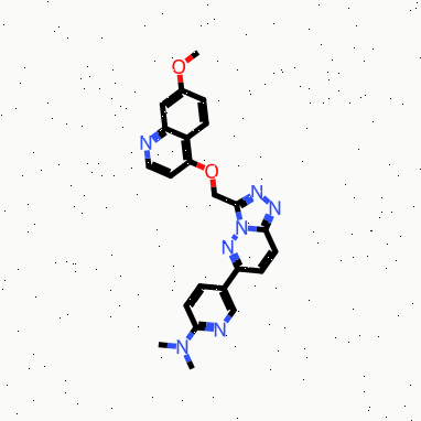 COc1ccc2c(OCc3nnc4ccc(-c5ccc(N(C)C)nc5)nn34)ccnc2c1